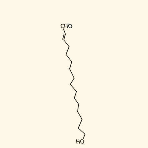 O=[C]C=CCCCCCCCCCCCCCO